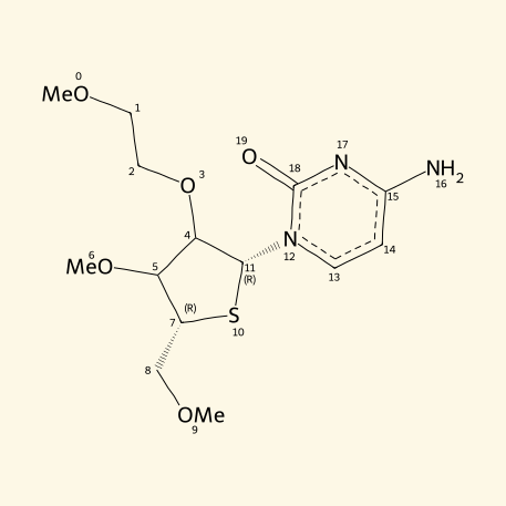 COCCOC1C(OC)[C@@H](COC)S[C@H]1n1ccc(N)nc1=O